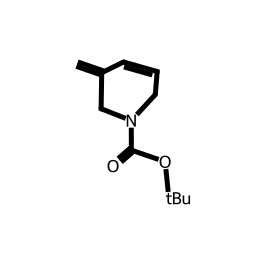 C=C1C=CCN(C(=O)OC(C)(C)C)C1